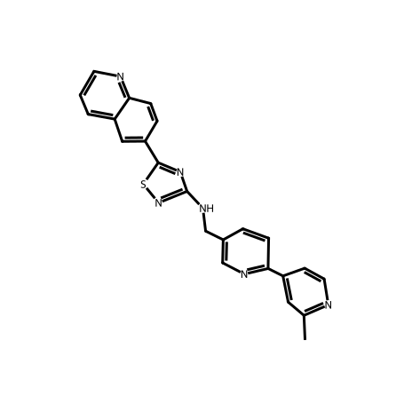 Cc1cc(-c2ccc(CNc3nsc(-c4ccc5ncccc5c4)n3)cn2)ccn1